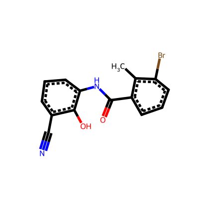 Cc1c(Br)cccc1C(=O)Nc1cccc(C#N)c1O